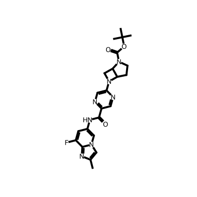 Cc1cn2cc(NC(=O)c3cnc(N4CC5C4CCN5C(=O)OC(C)(C)C)cn3)cc(F)c2n1